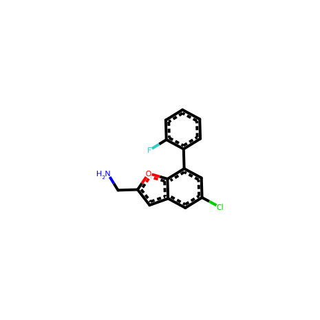 NCc1cc2cc(Cl)cc(-c3ccccc3F)c2o1